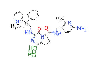 CC[C@@](CNc1ncc2n(c1=O)[C@H](C(=O)NCc1ccc(N)nc1C)CC2)(c1ccccc1)c1ccccn1.Cl.Cl.Cl